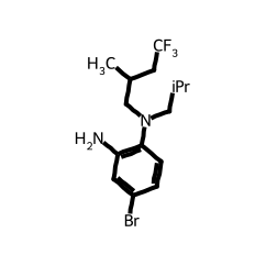 CC(C)CN(CC(C)CC(F)(F)F)c1ccc(Br)cc1N